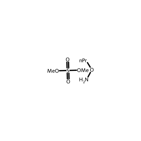 CCCON.COS(=O)(=O)OC